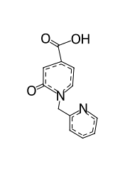 O=C(O)c1ccn(Cc2ccccn2)c(=O)c1